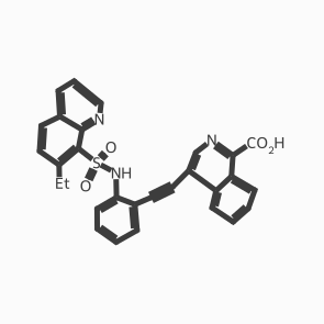 CCc1ccc2cccnc2c1S(=O)(=O)Nc1ccccc1C#Cc1cnc(C(=O)O)c2ccccc12